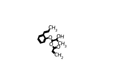 C=CC(=O)OC(Oc1ccccc1C=CC)C(C)O